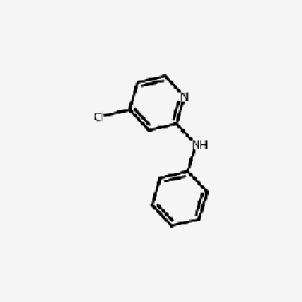 Clc1ccnc(Nc2ccccc2)c1